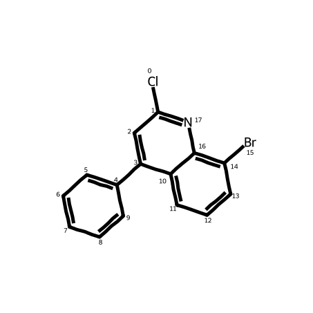 Clc1cc(-c2ccccc2)c2cccc(Br)c2n1